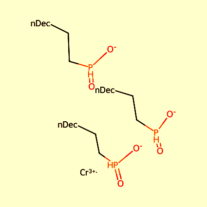 CCCCCCCCCCCC[PH](=O)[O-].CCCCCCCCCCCC[PH](=O)[O-].CCCCCCCCCCCC[PH](=O)[O-].[Cr+3]